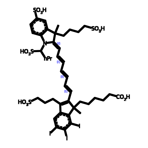 CCCC(N1\C(=C/C=C/C=C/C=C/C2=C(CCCS(=O)(=O)O)c3cc(I)c(I)c(I)c3C2(C)CCCCCC(=O)O)C(C)(CCCCS(=O)(=O)O)c2cc(S(=O)(=O)O)ccc21)S(=O)(=O)O